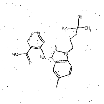 CC(C)(O)CCCN1NC(Nc2cnccc2C(=O)O)c2cc(F)ccc21